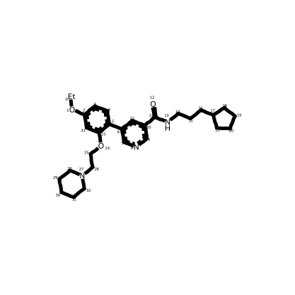 CCOc1ccc(-c2cncc(C(=O)NCCCC3CCCC3)c2)c(OCCN2CCCCC2)c1